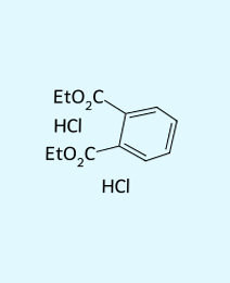 CCOC(=O)c1ccccc1C(=O)OCC.Cl.Cl